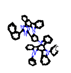 c1ccc(-c2nc(-c3ccc(-n4c5ccccc5c5c6c(c7ccccc7n6-c6ccccc6)c6c(c7ccccc7n6-c6ccccc6)c54)cc3-n3c4ccccc4c4ccccc43)nc(-c3cccc4ccccc34)n2)cc1